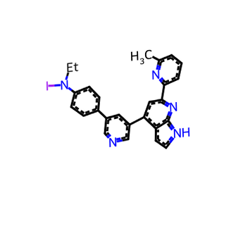 CCN(I)c1ccc(-c2cncc(-c3cc(-c4cccc(C)n4)nc4[nH]ccc34)c2)cc1